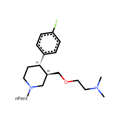 CCCCCN1CC[C@H](c2ccc(F)cc2)[C@@H](COCCN(C)C)C1